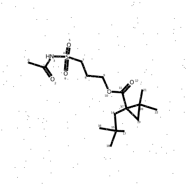 CC(=O)NS(=O)(=O)CCCOC(=O)C1(CC(C)(C)C)CC1(C)C